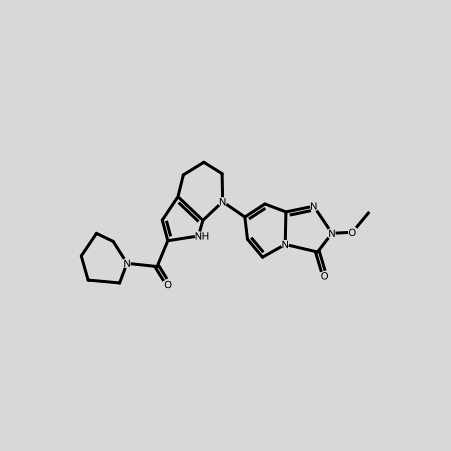 COn1nc2cc(N3CCCc4cc(C(=O)N5CCCCC5)[nH]c43)ccn2c1=O